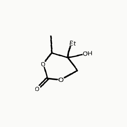 CCC1(O)COC(=O)OC1C